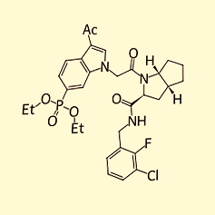 CCOP(=O)(OCC)c1ccc2c(C(C)=O)cn(CC(=O)N3[C@@H]4CCC[C@@H]4C[C@H]3C(=O)NCc3cccc(Cl)c3F)c2c1